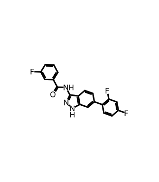 O=C(Nc1n[nH]c2cc(-c3ccc(F)cc3F)ccc12)c1cccc(F)c1